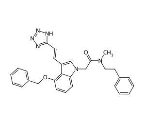 CN(CCc1ccccc1)C(=O)Cn1cc(C=Cc2nnn[nH]2)c2c(OCc3ccccc3)cccc21